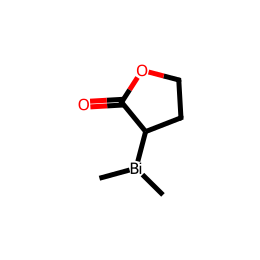 [CH3][Bi]([CH3])[CH]1CCOC1=O